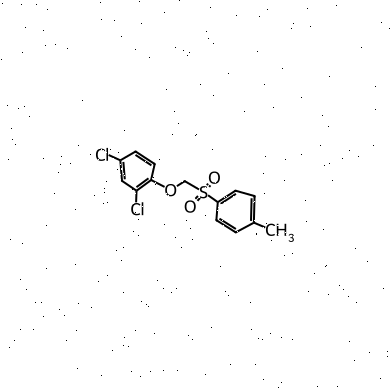 Cc1ccc(S(=O)(=O)COc2ccc(Cl)cc2Cl)cc1